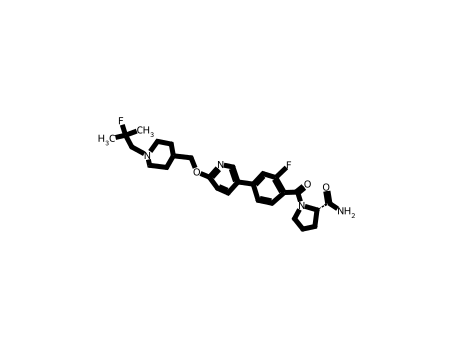 CC(C)(F)CN1CCC(COc2ccc(-c3ccc(C(=O)N4CCC[C@H]4C(N)=O)c(F)c3)cn2)CC1